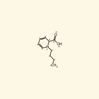 CCCCN1C=CC=CC1C(=O)O